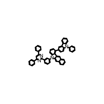 c1ccc(-c2cc(-c3ccccc3)nc(-c3cccc(-n4c5cc6ccccc6cc5c5c(-c6ccc7c(c6)c6ccccc6n7-c6ccccc6)cccc54)c3)n2)cc1